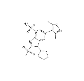 Cc1noc(C)c1-c1cc(S(N)(=O)=O)c2nc(S(C)(=O)=O)n(C3CCCC3)c2c1